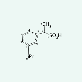 CC(C)c1cccc(C(C)S(=O)(=O)O)c1